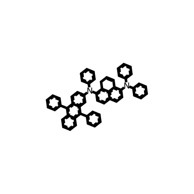 C1=Cc2c(N(c3ccccc3)c3ccccc3)ccc3ccc(N(c4ccccc4)c4ccc5c(-c6ccccc6)c6ccccc6c(-c6ccccc6)c5c4)c(c23)C1